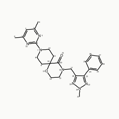 Cc1cc(C)nc(N2CCC3(CC2)OCCN(Cc2nn(C)nc2-c2ccccc2)C3=O)n1